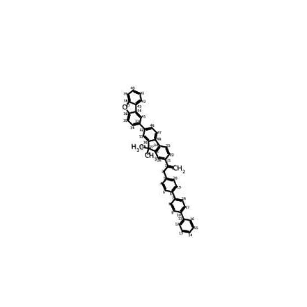 C=C(Cc1ccc(-c2ccc(-c3ccccc3)cc2)cc1)c1ccc2c(c1)C(C)(C)c1cc(-c3ccc4oc5ccccc5c4c3)ccc1-2